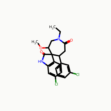 CCN1CC(OC)C2(C(=O)Nc3cc(Cl)ccc32)C(c2cccc(Cl)c2)CC1=O